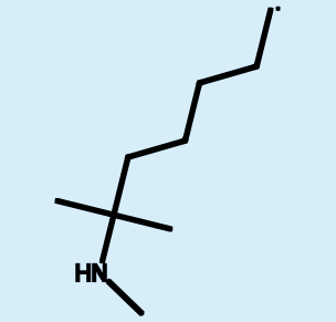 [CH2]CCCCC(C)(C)NC